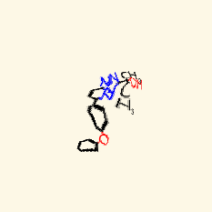 CC(C)(O)c1nnc2ccc(-c3ccc(Oc4ccccc4)cc3)nn12